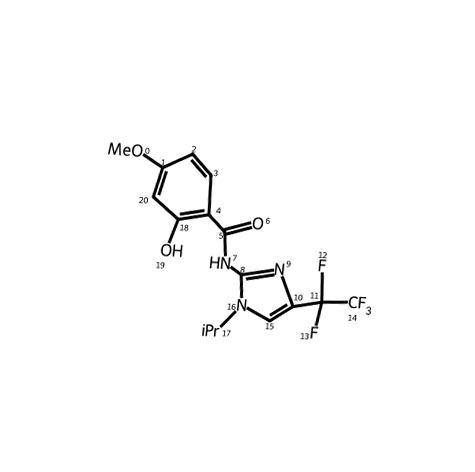 COc1ccc(C(=O)Nc2nc(C(F)(F)C(F)(F)F)cn2C(C)C)c(O)c1